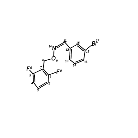 Fc1cccc(F)c1CO/N=[C]\c1cccc(Br)c1